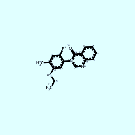 Cc1cc(F)c(-n2cnc3ccccc3c2=O)cc1SCC(F)(F)F